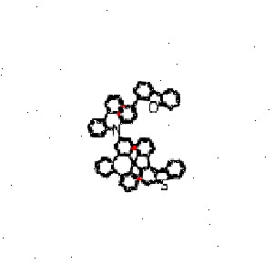 c1ccc(-c2ccccc2N(c2ccc(-c3cccc4c3oc3ccccc34)cc2)c2ccc3c(c2)-c2ccccc2-c2ccccc2C32c3ccccc3-c3c2ccc2sc4ccccc4c32)cc1